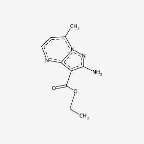 CCOC(=O)c1c(N)nn2c(C)ccnc12